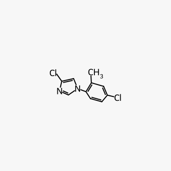 Cc1cc(Cl)ccc1-n1cnc(Cl)c1